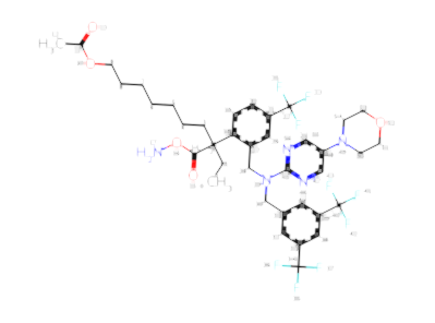 CCC(CCCCCCCOC(C)=O)(C(=O)ON)c1ccc(C(F)(F)F)cc1CN(Cc1cc(C(F)(F)F)cc(C(F)(F)F)c1)c1ncc(N2CCOCC2)cn1